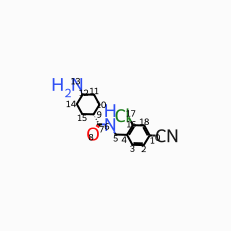 N#Cc1ccc(CNC(=O)[C@H]2CC[C@@H](N)CC2)c(Cl)c1